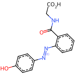 O=C(O)CNC(=O)c1ccccc1/N=N/c1ccc(O)cc1